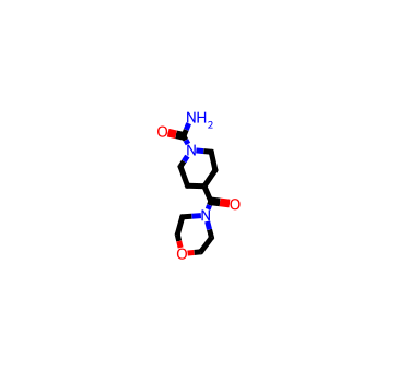 NC(=O)N1CCC(C(=O)N2CCOCC2)CC1